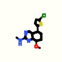 CNc1ncc2c(-c3ccc(Cl)s3)ccc(OC)c2n1